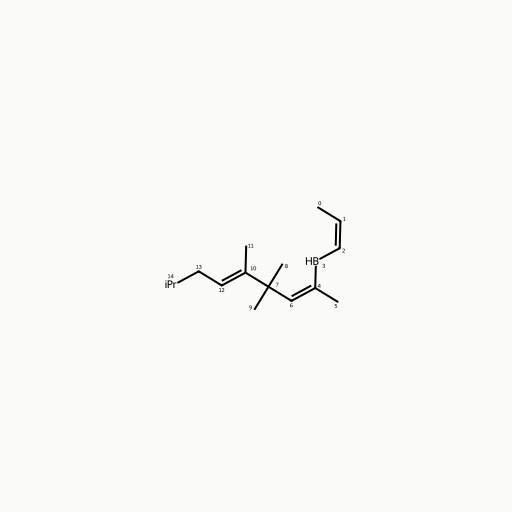 C/C=C\B/C(C)=C\C(C)(C)/C(C)=C/CC(C)C